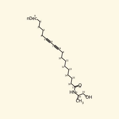 CCCCCCCCCCCCCCC#CC#CCCCCCCCCC(=O)NC(C)CO